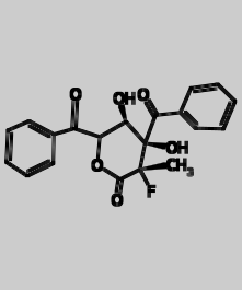 C[C@@]1(F)C(=O)OC(C(=O)c2ccccc2)[C@@H](O)[C@]1(O)C(=O)c1ccccc1